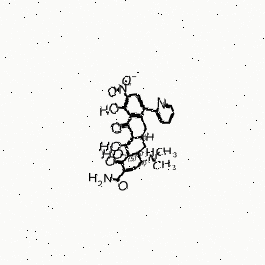 CN(C)[C@@H]1C=C(C(N)=O)C(=O)[C@@]2(O)C(O)=C3C(=O)c4c(O)c([N+](=O)[O-])cc(-c5ccccn5)c4C[C@H]3C[C@@H]12